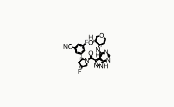 N#Cc1cc(F)cc([C@H]2C[C@H](F)CN2C(=O)c2n[nH]c3ncnc(N[C@@H]4CCOC[C@H]4O)c23)c1